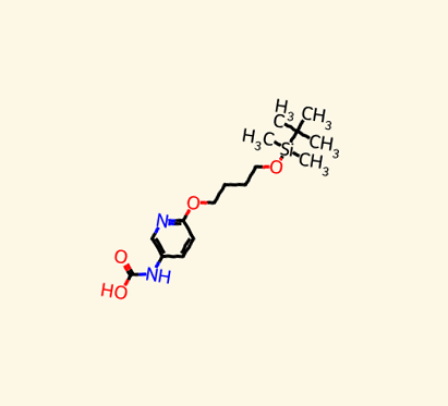 CC(C)(C)[Si](C)(C)OCCCCOc1ccc(NC(=O)O)cn1